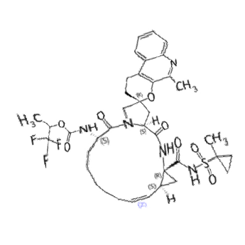 Cc1nc2ccccc2c2c1O[C@]1(CC2)C[C@H]2C(=O)N[C@]3(C(=O)NS(=O)(=O)C4(C)CC4)C[C@H]3/C=C\CCCCC[C@H](NC(=O)OC(C)C(F)(F)F)C(=O)N2C1